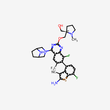 CN1CCC[C@@]1(CO)COc1nc(N2CC3CCC(C2)N3)c2cc(C(F)(F)F)c(-c3ccc(F)c4sc(N)c(C#N)c34)c(F)c2n1